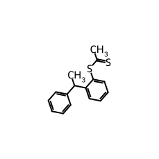 CC(=S)Sc1ccccc1C(C)c1ccccc1